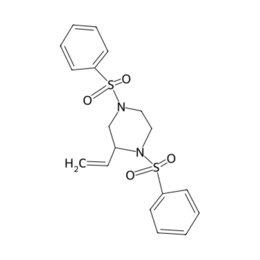 C=CC1CN(S(=O)(=O)c2ccccc2)CCN1S(=O)(=O)c1ccccc1